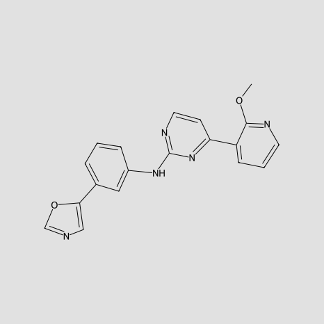 COc1ncccc1-c1ccnc(Nc2cccc(-c3cnco3)c2)n1